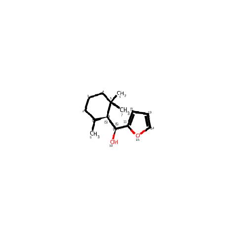 CC1CCCC(C)(C)[C@H]1[C@H](O)c1ccco1